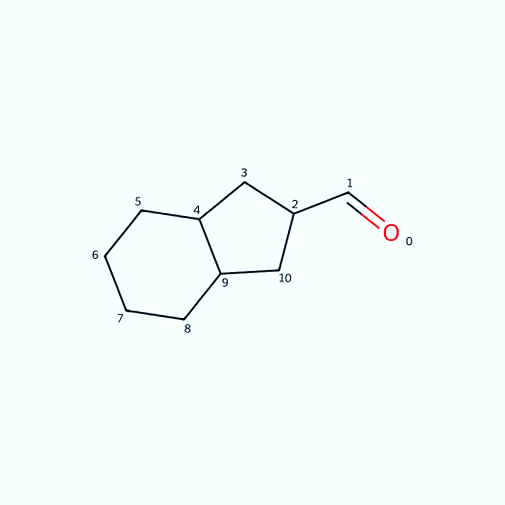 O=CC1CC2CCCCC2C1